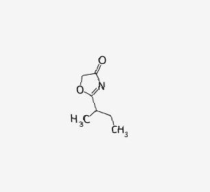 CCC(C)C1=NC(=O)CO1